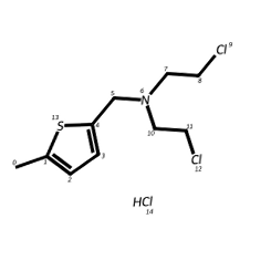 Cc1ccc(CN(CCCl)CCCl)s1.Cl